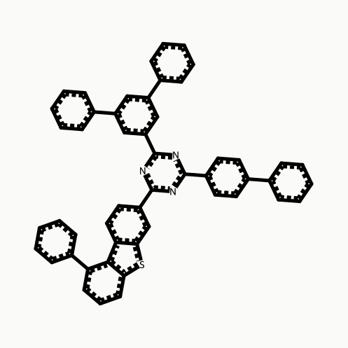 c1ccc(-c2ccc(-c3nc(-c4cc(-c5ccccc5)cc(-c5ccccc5)c4)nc(-c4ccc5c(c4)sc4cccc(-c6ccccc6)c45)n3)cc2)cc1